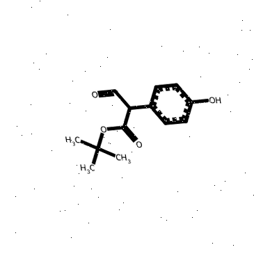 CC(C)(C)OC(=O)C([C]=O)c1ccc(O)cc1